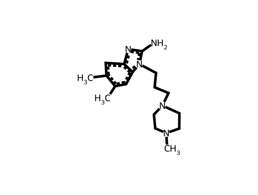 Cc1cc2nc(N)n(CCCN3CCN(C)CC3)c2cc1C